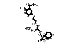 Cl.NC(=O)c1cc(OCCNCC(O)COn2c(=O)[nH]c3ccccc32)ccc1O